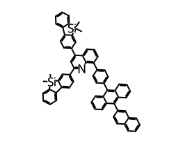 C[Si]1(C)c2ccccc2-c2ccc(-c3cc(-c4ccc5c(c4)[Si](C)(C)c4ccccc4-5)c4cccc(-c5ccc(-c6c7ccccc7c(-c7ccc8ccccc8c7)c7ccccc67)cc5)c4n3)cc21